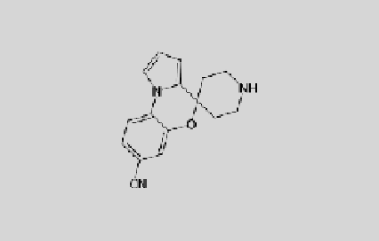 N#Cc1ccc2c(c1)OC1(CCNCC1)c1cccn1-2